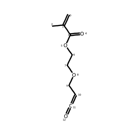 C=C(C)C(=O)OCCOCC=C=O